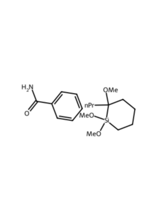 CCCC1(OC)CCCC[Si]1(OC)OC.NC(=O)c1ccccc1